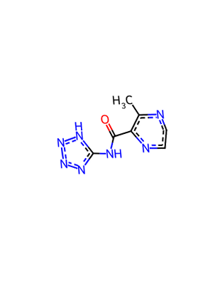 Cc1nccnc1C(=O)Nc1nnn[nH]1